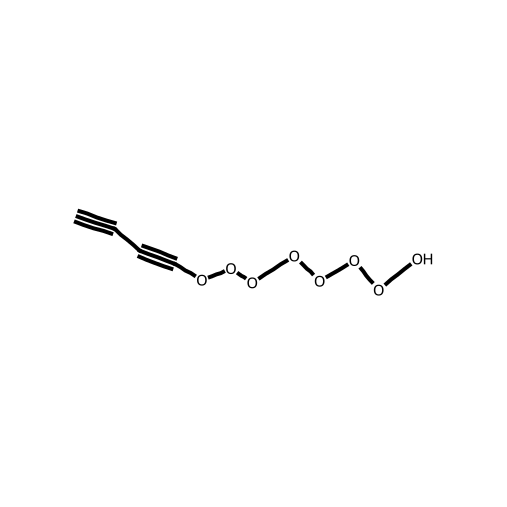 C#CC#COOOOOOOO